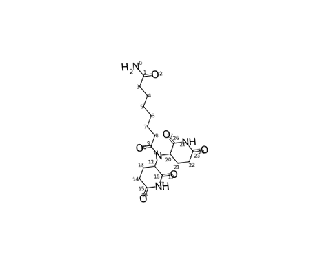 NC(=O)CCCCCCC(=O)N(C1CCC(=O)NC1=O)C1CCC(=O)NC1=O